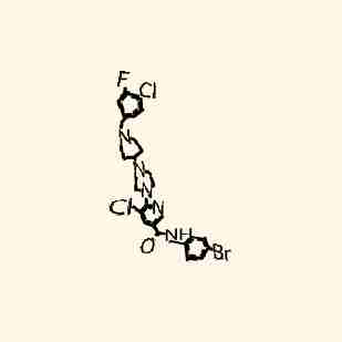 O=C(NCc1ccc(Br)cc1)c1cnc(N2CCN(C3CCN(Cc4ccc(Cl)c(F)c4)CC3)CC2)c(Cl)c1